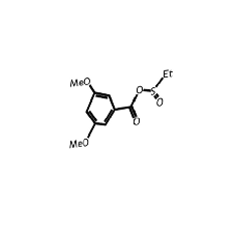 CCS(=O)OC(=O)c1cc(OC)cc(OC)c1